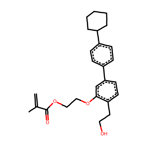 C=C(C)C(=O)OCCOc1cc(-c2ccc(C3CCCCC3)cc2)ccc1CCO